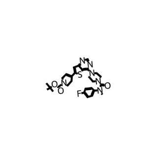 CN(C(=O)N1CCN(c2ncnc3cc(C4=CCN(C(=O)OC(C)(C)C)CC4)sc23)CC1)c1ccc(F)cc1